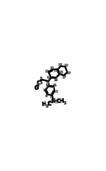 CN(C)c1ccc(C(C=C=O)c2ccc3c(c2)CCCC3)cc1